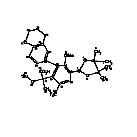 COc1c(B2OC(C)(C)C(C)(C)O2)cc(C(F)(F)F)c(C(C)(OC(C)(C)C)C(=O)O)c1-c1ccc2c(c1)CCCO2